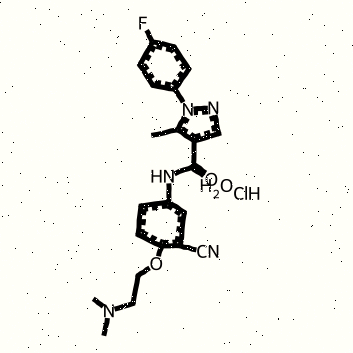 Cc1c(C(=O)Nc2ccc(OCCN(C)C)c(C#N)c2)cnn1-c1ccc(F)cc1.Cl.O